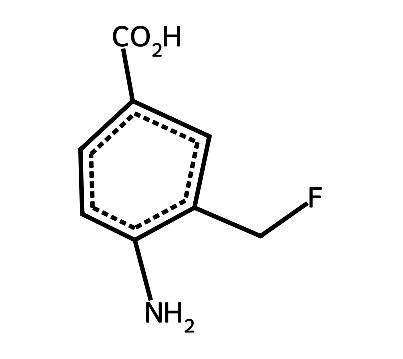 Nc1ccc(C(=O)O)cc1CF